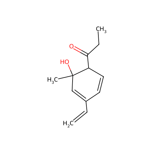 C=CC1=CC(C)(O)C(C(=O)CC)C=C1